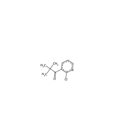 CC(C)(C)C(=O)c1cccnc1Cl